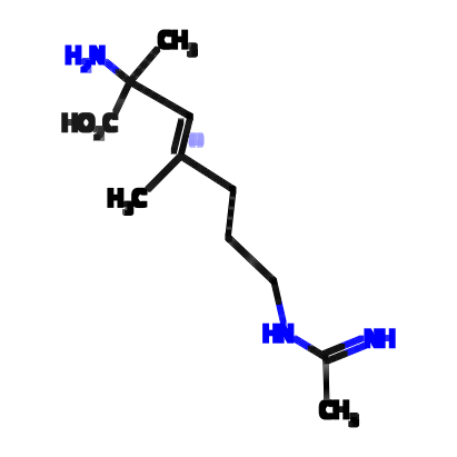 CC(=N)NCCC/C(C)=C/C(C)(N)C(=O)O